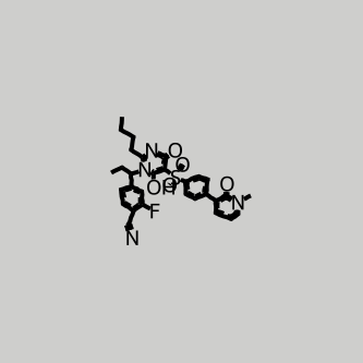 CCCCc1nc(=O)c(S(=O)(=O)c2ccc(-c3cccn(C)c3=O)cc2)c(O)n1C(CC)c1ccc(C#N)c(F)c1